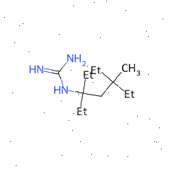 CCC(C)(CC)CC(CC)(CC)NC(=N)N